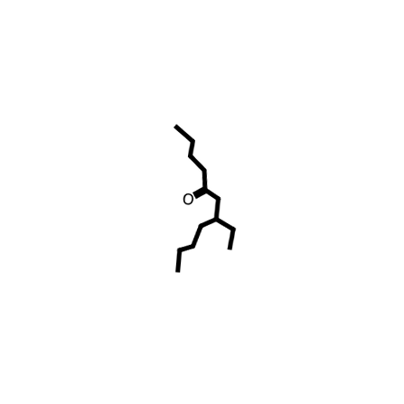 CCCCC(=O)CC(CC)CCCC